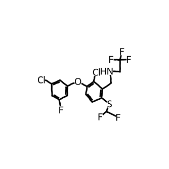 Fc1cc(Cl)cc(Oc2ccc(SC(F)F)c(CNCC(F)(F)F)c2Cl)c1